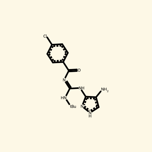 CC(C)(C)N/C(=N/C(=O)c1ccc(Cl)cc1)Nc1n[nH]cc1N